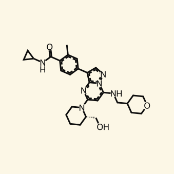 Cc1cc(-c2cnn3c(NCC4CCOCC4)cc(N4CCCC[C@H]4CO)nc23)ccc1C(=O)NC1CC1